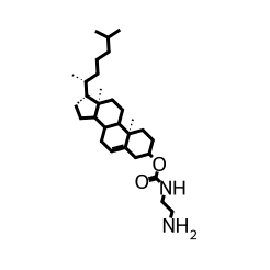 CC(C)CCC[C@@H](C)[C@H]1CCC2C3CC=C4CC(OC(=O)NCCN)CC[C@]4(C)C3CC[C@@]21C